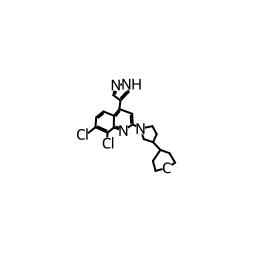 Clc1ccc2c(-c3cn[nH]c3)cc(N3CCC(C4CCCCC4)C3)nc2c1Cl